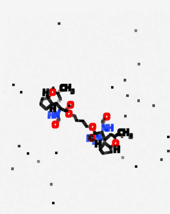 C[C@@H]1C[C@H]([C@H](NC=O)C(=O)OCCCCOC(=O)C(NC=O)[C@]2(N)C[C@@H](C)O[C@H]3CCC[C@H]32)[C@@H]2CCC[C@@H]2O1